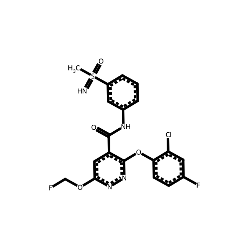 CS(=N)(=O)c1cccc(NC(=O)c2cc(OCF)nnc2Oc2ccc(F)cc2Cl)c1